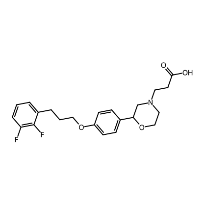 O=C(O)CCN1CCOC(c2ccc(OCCCc3cccc(F)c3F)cc2)C1